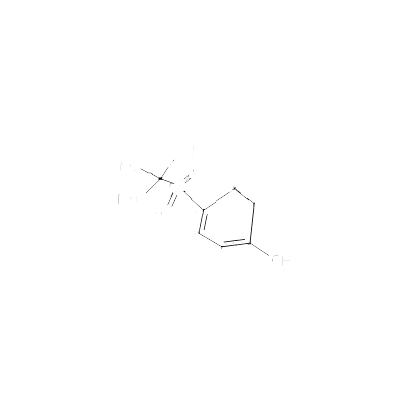 CC1=CC=C(S(=O)(=O)C(C)(C)C)CC1